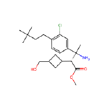 COC(=O)[C@H](C1CC(CO)C1)C(C)(N)c1ccc(CCC(C)(C)C)c(Cl)c1